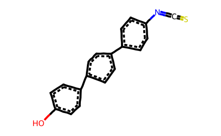 Oc1ccc(-c2ccc(-c3ccc(N=C=S)cc3)cc2)cc1